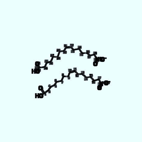 O=C(O)CCCCCCC/C=C\CCCCCC[N+](=O)[O-].O=C(O)CCCCCCC/C=C\CCCCCC[N+](=O)[O-]